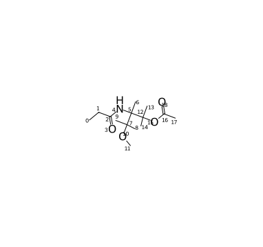 CCC(=O)NC(C)(C(C)(C)OC)C(C)(C)OC(C)=O